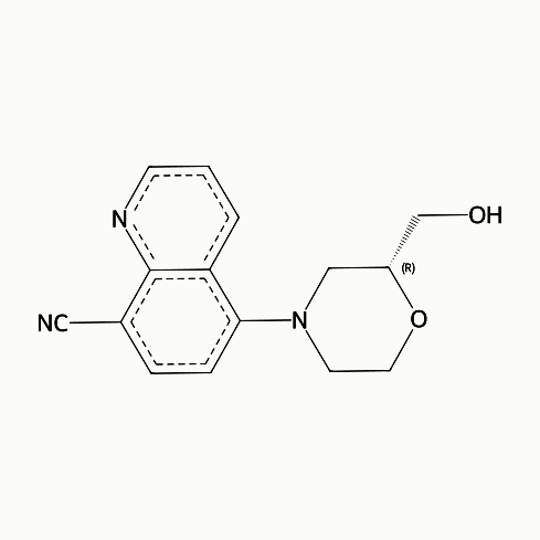 N#Cc1ccc(N2CCO[C@@H](CO)C2)c2cccnc12